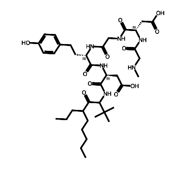 CCCCCC(CCC)C(=O)C(NC(=O)[C@H](CC(=O)O)NC(=O)[C@H](CCc1ccc(O)cc1)NC(=O)CNC(=O)[C@H](CC(=O)O)NC(=O)CNC)C(C)(C)C